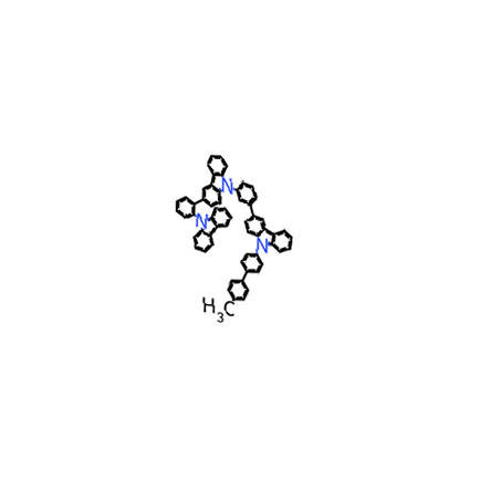 Cc1ccc(-c2ccc(-n3c4ccccc4c4cc(-c5cccc(-n6c7ccccc7c7cc(-c8ccccc8-n8c9ccccc9c9ccccc98)ccc76)c5)ccc43)cc2)cc1